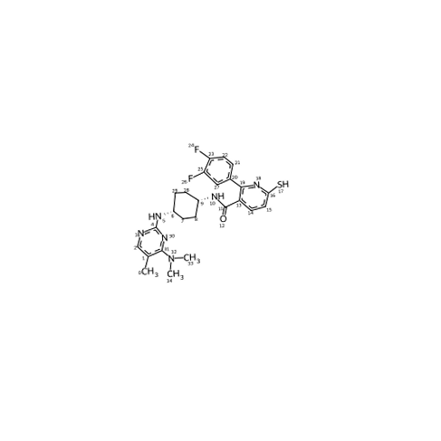 Cc1cnc(N[C@H]2CC[C@@H](NC(=O)c3ccc(S)nc3-c3ccc(F)c(F)c3)CC2)nc1N(C)C